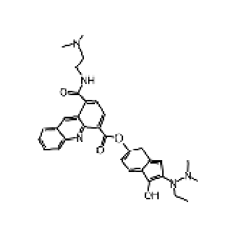 CCN(C1=C(O)C2=CC=C(OC(=O)c3ccc(C(=O)NCCN(C)C)c4cc5ccccc5nc34)CC2=C1)N(C)C